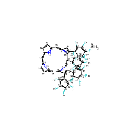 Fc1c(F)c(F)c(C2=CC3=CC4=NC(=CC5=NC(=CC6=NC(=C(c7c(F)c(F)c(F)c(F)c7F)C2=N3)C(c2c(F)c(F)c(F)c(F)c2F)=C6c2c(F)c(F)c(F)c(F)c2F)C=C5)C=C4)c(F)c1F.[AlH3]